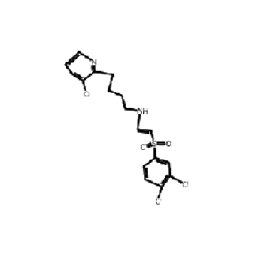 O=S(=O)(C=CNCCCCc1ncccc1Cl)c1ccc(Cl)c(Cl)c1